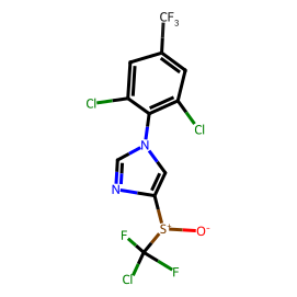 [O-][S+](c1cn(-c2c(Cl)cc(C(F)(F)F)cc2Cl)cn1)C(F)(F)Cl